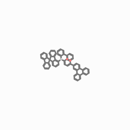 c1ccc(-c2ccccc2N(c2ccc(-c3ccc4c5ccccc5c5ccccc5c4c3)cc2)c2cccc3c2-c2ccccc2C32c3ccccc3-c3ccccc32)cc1